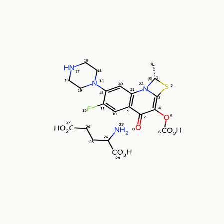 C[C@@H]1Sc2c(OC(=O)O)c(=O)c3cc(F)c(N4CCNCC4)cc3n21.NC(CCC(=O)O)C(=O)O